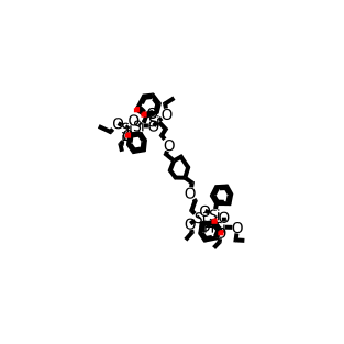 CCO[SiH](OCC)O[Si](O[Si](CCOCC1CCC(COCC[Si](OCC)(OCC)O[Si](O[SiH](OCC)OCC)(c2ccccc2)c2ccccc2)CC1)(OCC)OCC)(c1ccccc1)c1ccccc1